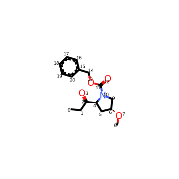 CCC(=O)[C@@H]1C[C@@H](OC)CN1C(=O)OCc1ccccc1